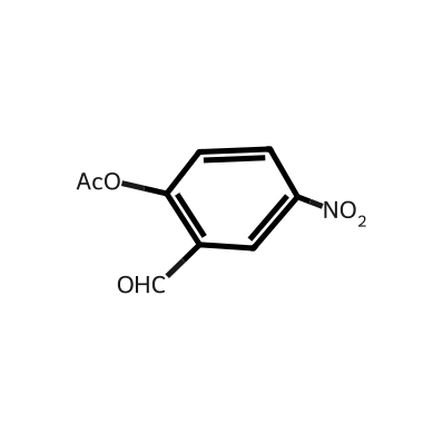 CC(=O)Oc1ccc([N+](=O)[O-])cc1C=O